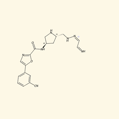 N#Cc1cccc(-c2cnc(C(=O)N[C@H]3CN[C@H](CN/N=C\C=N)C3)o2)c1